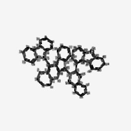 c1ccc2c(-n3c4ccccc4c4ccccc43)c3c4ccccc4n(-c4nc5ccccc5nc4-c4cccc5oc6ccccc6c45)c3cc2c1